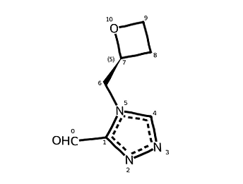 O=Cc1nncn1C[C@@H]1CCO1